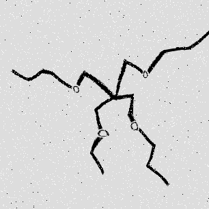 CCCOCC(COCC)(COCCC)COCCC